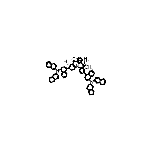 CC1(C)c2cc(-c3ccc(N(c4ccc5ccccc5c4)c4ccc5ccccc5c4)c4ccccc34)ccc2N2c3ccc(-c4ccc(N(c5ccc6ccccc6c5)c5ccc6ccccc6c5)c5ccccc45)cc3C(C)(C)c3cccc1c32